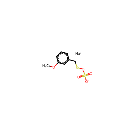 COc1cccc(CSOS(=O)(=O)[O-])c1.[Na+]